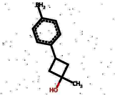 Bc1ccc(C2CC(C)(O)C2)cc1